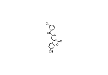 N#Cc1ccc2c(CC(=O)Nc3cccc(Cl)c3)cc(=O)oc2c1